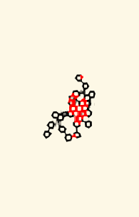 c1ccc(-c2ccc(N(c3cccc(-c4ccccc4)c3)c3cc4c5cc(N(c6ccc(-c7ccccc7)cc6)c6cccc(-c7cccc(-c8ccccc8-c8cccc(N(c9cccc(-c%10ccccc%10)c9)c9cc%10c%11cc(N(c%12cccc(-c%13ccccc%13)c%12)c%12cccc(-c%13ccccc%13)c%12)c%12ccccc%12c%11oc%10c%10ccccc9%10)c8)c7)c6)c6ccccc6c5oc4c4ccccc34)cc2)cc1